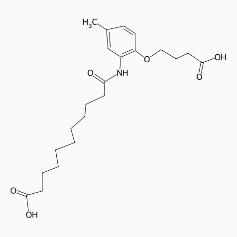 Cc1ccc(OCCCC(=O)O)c(NC(=O)CCCCCCCCCC(=O)O)c1